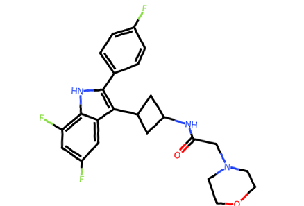 O=C(CN1CCOCC1)NC1CC(c2c(-c3ccc(F)cc3)[nH]c3c(F)cc(F)cc23)C1